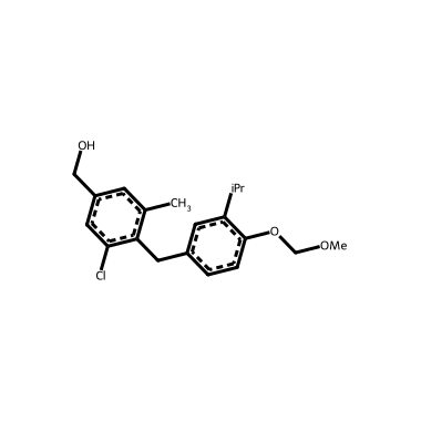 COCOc1ccc(Cc2c(C)cc(CO)cc2Cl)cc1C(C)C